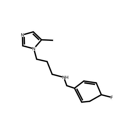 Cc1cncn1CCCNCC1=CCC(F)C=C1